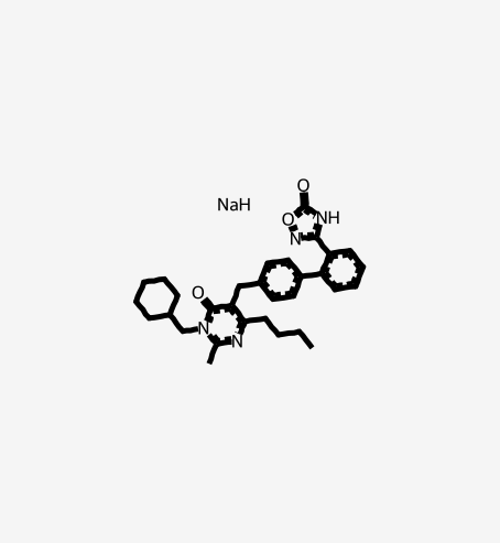 CCCCc1nc(C)n(CC2CCCCC2)c(=O)c1Cc1ccc(-c2ccccc2-c2noc(=O)[nH]2)cc1.[NaH]